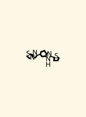 c1csc(-c2nc3ccc(-c4cn5ccsc5n4)cc3[nH]2)c1